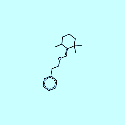 CC1CCCC(C)(C)C1=COCCc1ccccc1